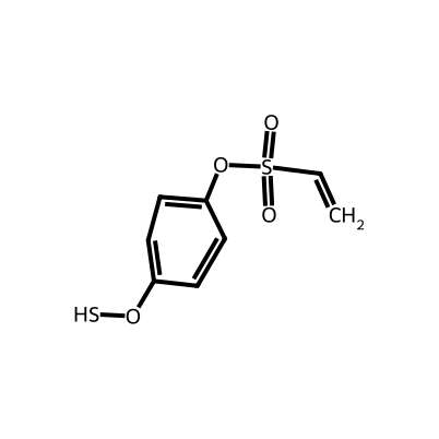 C=CS(=O)(=O)Oc1ccc(OS)cc1